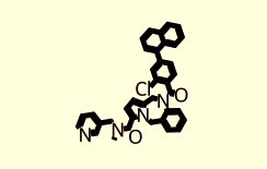 CN(Cc1cccnc1)C(=O)c1ccc2n1Cc1ccccc1N(C(=O)c1ccc(-c3cccc4ccccc34)cc1Cl)C2